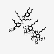 CCCCCCC(=Nc1ccc(CCC)c(CCC)c1)C(CCCC)=Nc1ccc(CCC)c(CCC)c1.CCCCCc1cc(O)c(O)c(C(=O)[O-])c1C.CCCCCc1cc(O)c(O)c(C(=O)[O-])c1C.[Ni+2]